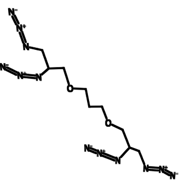 [N-]=[N+]=NCC(COCCCOCC(CN=[N+]=[N-])N=[N+]=[N-])N=[N+]=[N-]